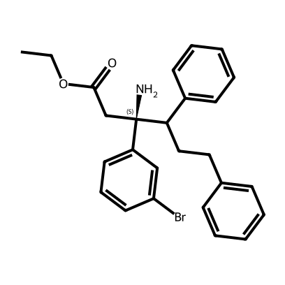 CCOC(=O)C[C@@](N)(c1cccc(Br)c1)C(CCc1ccccc1)c1ccccc1